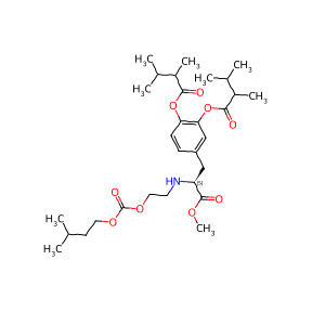 COC(=O)[C@H](Cc1ccc(OC(=O)C(C)C(C)C)c(OC(=O)C(C)C(C)C)c1)NCCOC(=O)OCCC(C)C